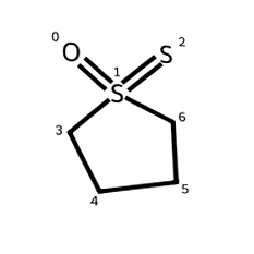 O=S1(=S)CCCC1